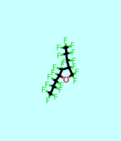 FC(F)(F)C(F)(F)C(F)(F)C1(F)OC(F)(F)C(F)(C(F)(F)C(F)(F)C(F)(F)F)C1(F)F